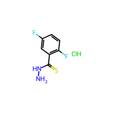 Cl.NNC(=S)c1cc(F)ccc1F